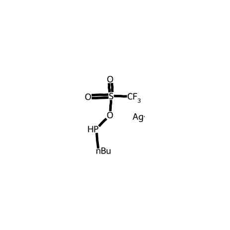 CCCCPOS(=O)(=O)C(F)(F)F.[Ag]